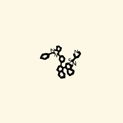 c1ccc(-c2nc(-c3cccc(-c4ccc5ccccc5c4-c4cc5sc(-c6cccnc6)nc5c5ccccc45)c3)c3ccccc3n2)cc1